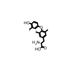 Cc1cc(C[C@@H](N)C(=O)O)cc(I)c1Oc1ccc(O)c(I)c1